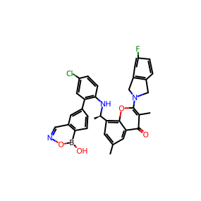 Cc1cc([C@@H](C)Nc2ccc(Cl)cc2-c2ccc3c(c2)C=NOB3O)c2oc(N3Cc4ccc(F)cc4C3)c(C)c(=O)c2c1